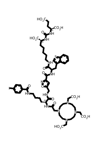 O=C(O)CC[C@H](NC(=O)N[C@@H](CCCCCNC(=O)C(Cc1csc2ccccc12)NC(=O)c1cc(CNC(=O)[C@H](CCCCNC(=O)c2ccc(I)cc2)NC(=O)CN2CCN(CC(=O)O)CCN(CC(=O)O)CCN(CC(=O)O)CC2)on1)C(=O)O)C(=O)O